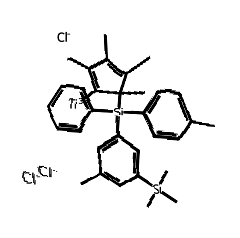 CC1=C(C)C(C)([Si](c2ccccc2)(c2ccc(C)cc2)c2cc(C)cc([Si](C)(C)C)c2)[C]([Ti+3])=C1C.[Cl-].[Cl-].[Cl-]